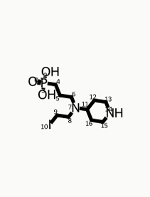 O=P(O)(O)CCCN(CCI)C1CCNCC1